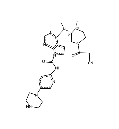 C[C@@H]1CCN(C(=O)CC#N)C[C@@H]1N(C)c1ncnc2c1ccn2C(=O)Nc1ccc(N2CCNCC2)cn1